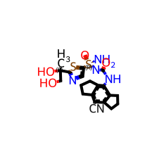 C[C@](O)(CO)c1ncc([S@](N)(=O)=NC(=O)Nc2c3c(c(C#N)c4c2CCC4)CCC3)s1